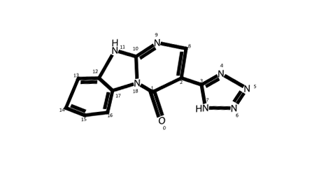 O=c1c(-c2nnn[nH]2)cnc2[nH]c3ccccc3n12